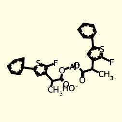 CC(C(=O)[O][Al+][O]C(=O)C(C)c1cc(-c2ccccc2)sc1F)c1cc(-c2ccccc2)sc1F.[OH-]